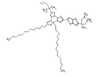 CCCCCCCCCCCCCCCC1(CCCCCCCCCCCCCCC)C(=O)c2cc(C(C)(C)CC)sc2-c2sc(-c3cc4sc(C(C)(CC)CC)cc4s3)cc21